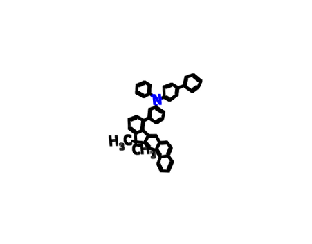 CC1(C)c2cc3c(ccc4ccccc43)cc2-c2c(-c3cccc(N(c4ccccc4)c4ccc(-c5ccccc5)cc4)c3)cccc21